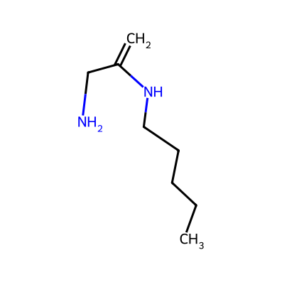 C=C(CN)NCCCCC